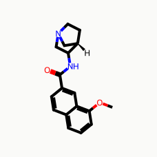 COc1cccc2ccc(C(=O)NC3CN4CC[C@H]3C4)cc12